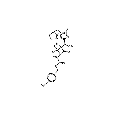 CC(=O)OC(c1nn(C)c2c1C1CCC(C2)N1C)C1(Br)C(=O)N2C(C(=O)OCc3ccc([N+](=O)[O-])cc3)=CS[C@@H]21